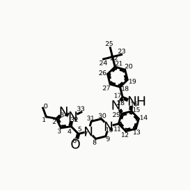 CCc1cc(C(=O)N2CCN(c3cccc4[nH]c(-c5ccc(C(C)(C)C)cc5)nc34)CC2)n(C)n1